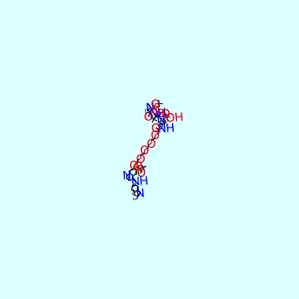 C[C@@H](C(=O)N[C@H](C(=O)N1C[C@@H](NC(=O)COCCOCCOCCOCCOc2cc3nccc(Nc4ccc5scnc5c4)c3cc2S(=O)(=O)C(C)(C)C)C[C@H]1C(=O)O)C(C)(C)C)N(C)C(=O)OC(C)(C)C